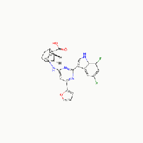 O=C(O)[C@H]1C2CCC(CC2)[C@@H]1Nc1cc(-c2ccco2)nc(-c2c[nH]c3c(F)cc(F)cc23)n1